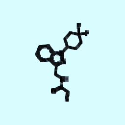 C=CC(=O)NCc1nn(C2CCC(F)(F)CC2)c2ccccc12